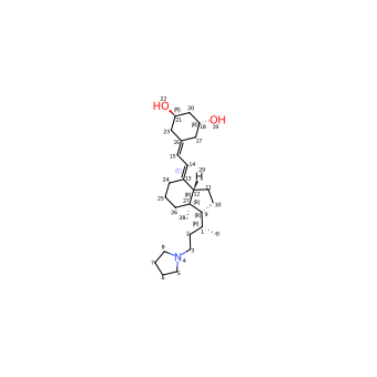 C[C@H](CCN1CCCC1)[C@H]1CC[C@H]2/C(=C/C=C3C[C@@H](O)C[C@H](O)C3)CCC[C@]12C